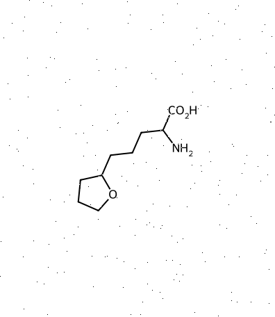 NC(CCCC1CCCO1)C(=O)O